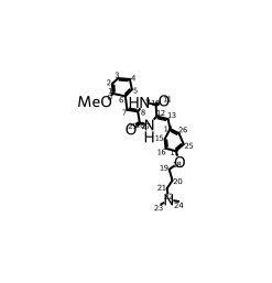 COc1ccccc1/C=c1\[nH]c(=O)/c(=C/c2ccc(OCCCN(C)C)cc2)[nH]c1=O